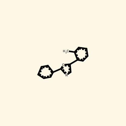 Cc1ccccc1-c1cnc(-c2ccccc2)o1